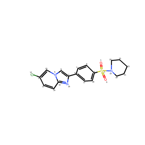 O=S(=O)(c1ccc(-c2cn3cc(Cl)ccc3n2)cc1)N1CCCCC1